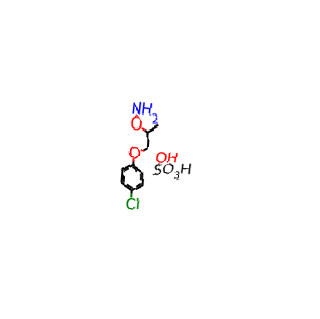 CC(COc1ccc(Cl)cc1)ON.O=S(=O)(O)O